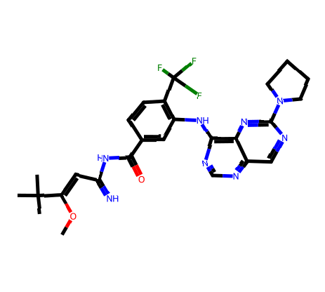 CO/C(=C\C(=N)NC(=O)c1ccc(C(F)(F)F)c(Nc2ncnc3cnc(N4CCCC4)nc23)c1)C(C)(C)C